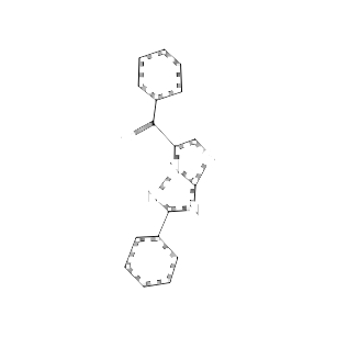 O=C(c1ccccc1)c1csc2nc(-c3ccccc3)nn12